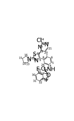 O=S(=O)(Nc1cccc(-c2nc(N3CCCC3)sc2-c2ccnc(Cl)n2)c1)c1c(F)cccc1F